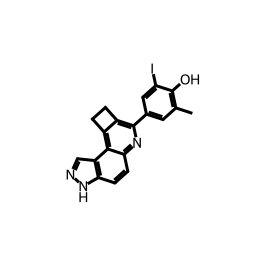 Cc1cc(-c2nc3ccc4[nH]ncc4c3c3c2CC3)cc(I)c1O